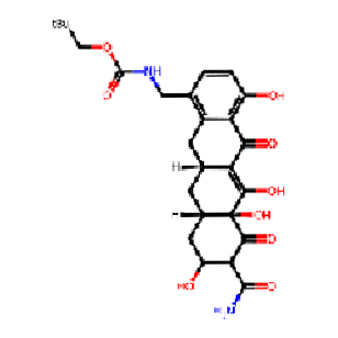 CC(C)(C)COC(=O)NCc1ccc(O)c2c1C[C@H]1C[C@H]3CC(O)C(C(N)=O)C(=O)[C@@]3(O)C(O)=C1C2=O